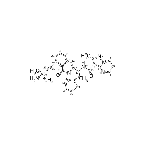 Cc1nn2cccnc2c1C(=O)N[C@@H](C)c1cc2cccc(C#CC(C)(C)N)c2c(=O)n1-c1ccccc1